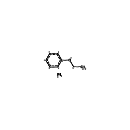 CCOc1ccccc1.P